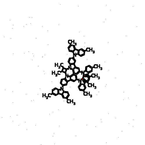 Cc1ccc2c(c1)c1cc(C)ccc1n2-c1ccc2c(c1)c1cc(-n3c4ccc(C)cc4c4cc(C)ccc43)ccc1n2C1C(C)C(C)C1n1c2ccc(-n3c4ccc(C)cc4c4cc(C)ccc43)cc2c2cc(-n3c4ccc(C)cc4c4cc(C)ccc43)ccc21